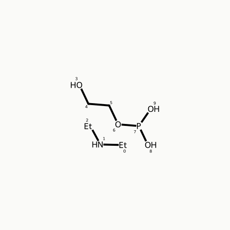 CCNCC.OCCOP(O)O